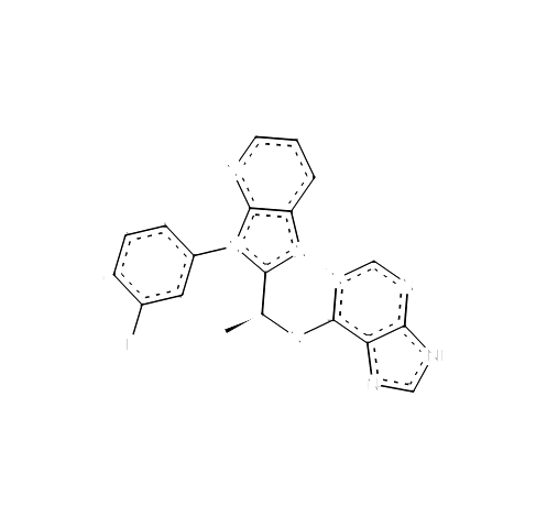 C[C@H](Nc1ncnc2[nH]cnc12)c1nc2cccnc2n1-c1cccc(F)c1